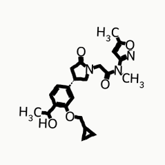 Cc1cc(N(C)C(=O)CN2C[C@H](c3ccc(C(C)O)c(OCC4CC4)c3)CC2=O)no1